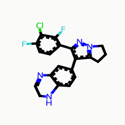 Fc1ccc(-c2nn3c(c2-c2ccc4c(c2)N=CCN4)CCC3)c(F)c1Cl